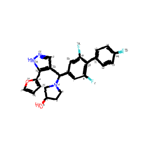 OC1CCN(C(c2cc(F)c(-c3ccc(F)cc3)c(F)c2)c2cn[nH]c2-c2ccco2)C1